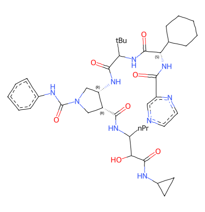 CCCC(NC(=O)[C@@H]1CN(C(=O)Nc2ccccc2)C[C@@H]1NC(=O)C(NC(=O)[C@@H](NC(=O)c1cnccn1)C1CCCCC1)C(C)(C)C)C(O)C(=O)NC1CC1